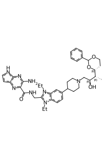 CCn1c(CNC(=O)c2nc3cc[nH]c3nc2N)[n+](CC)c2ccc(C3CCN(C[C@H](O)[C@@H](C)[C@H]4CCOC(c5ccccc5)O4)CC3)cc21